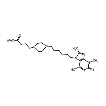 COC(=O)CCCN1CCN(CCCCCCn2c(C)nc3c2c(O)nc(=O)n3C)CC1